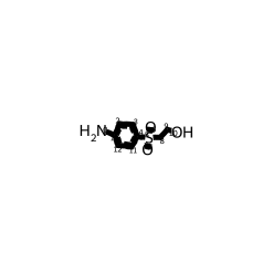 Nc1ccc(S(=O)(=O)CCO)cc1